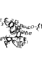 COc1cc(F)c(C(C)C)cc1-c1cc(C(F)(F)F)c(OC)cc1CN(Cc1cc(C(F)(F)F)cc(C(F)(F)F)c1)c1ncc(OCCCC(=O)O)cn1